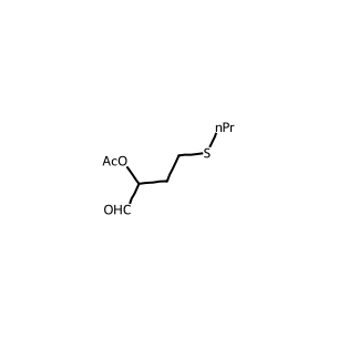 CCCSCCC(C=O)OC(C)=O